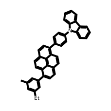 CCc1cc(C)cc(-c2ccc3ccc4c(-c5ccc(-n6c7ccccc7c7ccccc76)cc5)ccc5ccc2c3c54)c1